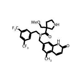 COCC1(C(=O)N(Cc2cc(C(F)(F)F)cc(C(F)(F)F)c2)Cc2cc(C)c3ccc(=O)[nH]c3c2)CCNC1